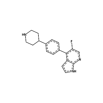 Fc1cnc2[nH]ccc2c1-c1ccc(C2CCNCC2)cc1